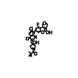 CC1(C(=O)N2CCC(O)(Cn3cnc4c(cc(Cl)n4-c4ccc(C5COCCN5C(=O)O)c(F)c4)c3=O)CC2)CC1